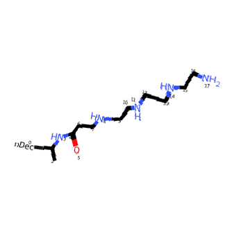 CCCCCCCCCCC(C)NC(=O)CCNCCNCCNCCN